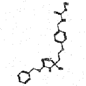 CC(C)(C)OC(=O)NCc1ccc(OCC[C@](NC(=O)OCc2ccccc2)(C(=O)O)C(C)(C)C)cc1